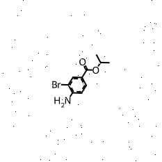 CC(C)OC(=O)c1ccc(N)c(Br)c1